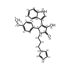 COc1ccc(C2C(c3c[nH]c4ccccc34)=C(O)C(=O)N2CCCn2ccnc2)cc1